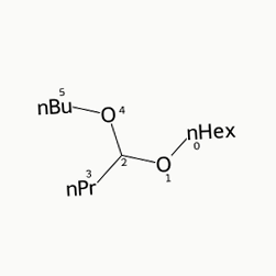 CCCCCCOC(CCC)OCCCC